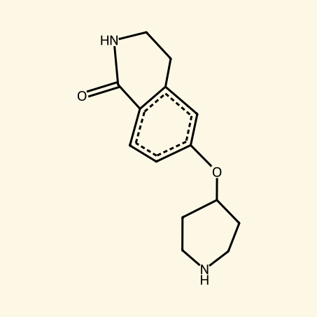 O=C1NCCc2cc(OC3CCNCC3)ccc21